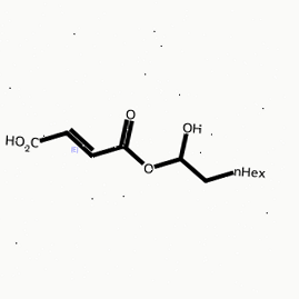 CCCCCCCC(O)OC(=O)/C=C/C(=O)O